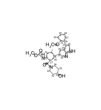 COC(=O)Nc1ccc(-c2cnc3[nH]cc(-c4ccccc4OC)c3c2)cc1C(=O)N1CCC(O)CC1